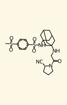 CS(=O)(=O)c1ccc(S(=O)(=O)NC23CC4CC(CC(NCC(=O)N5CCC[C@H]5C#N)(C4)C2)C3)cc1